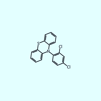 Clc1ccc(N2c3ccccc3Sc3ccccc32)c(Cl)c1